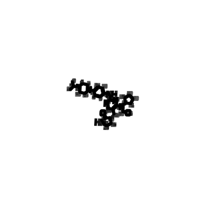 CC(C)N1CCN(c2ccc(Nc3ncc(C[C@@H]4CCNC4=O)c(N(C=O)C4CCCC4)n3)cc2)CC1